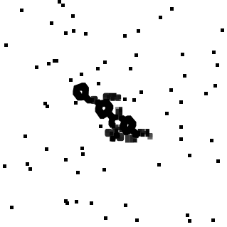 COc1cc(C(CNS(C)(=O)=O)Nc2ccc(C(=N)N)cc2)ccc1OCc1ccccc1